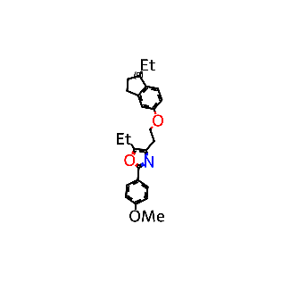 CCc1oc(-c2ccc(OC)cc2)nc1CCOc1ccc2c(c1)CC[C@H]2CC